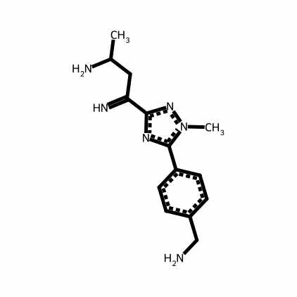 CC(N)CC(=N)c1nc(-c2ccc(CN)cc2)n(C)n1